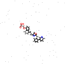 O=C(O)COc1cccc2c1CCCC2=CCc1coc(Cc2ccccc2-c2cccnc2)n1